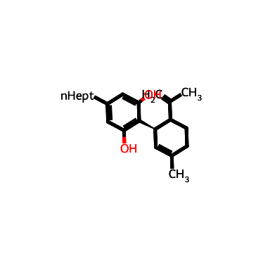 C=C(C)C1CCC(C)=C[C@H]1c1c(O)cc(CCCCCCC)cc1O